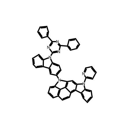 c1ccc(-c2nc(-c3ccccc3)nc(-n3c4ccccc4c4cc(-n5c6cccc7ccc8c9c%10ccccc%10n(-c%10ccccn%10)c9cc5c8c76)ccc43)n2)cc1